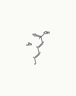 C/C=C/C=C/C(=O)O.[Zn]